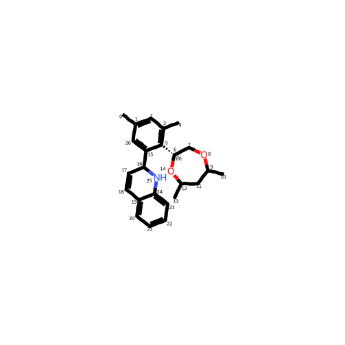 Cc1cc(C)c([C@@H]2COC(C)CC(C)O2)c(C2C=Cc3ccccc3N2)c1